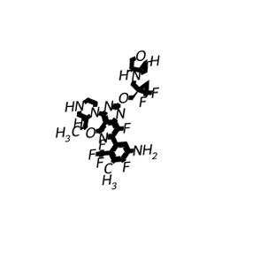 Cc1c(F)c(N)cc(-c2nc3c4c(nc(OC[C@@]5(CN6C[C@H]7C[C@@H]6CO7)CC5(F)F)nc4c2F)N2CCNC[C@H]2[C@H](C)O3)c1C(F)(F)F